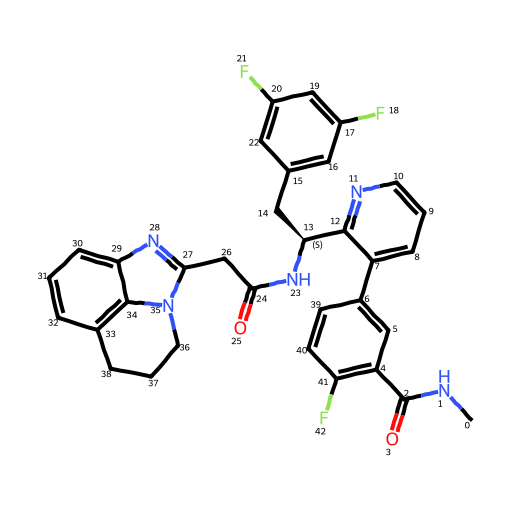 CNC(=O)c1cc(-c2cccnc2[C@H](Cc2cc(F)cc(F)c2)NC(=O)Cc2nc3cccc4c3n2CCC4)ccc1F